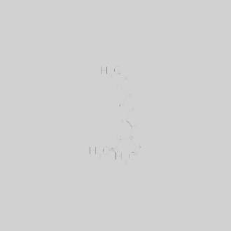 CCCCCCC=CC(CC)CCC